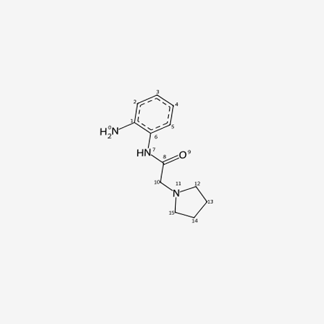 Nc1ccccc1NC(=O)CN1CCCC1